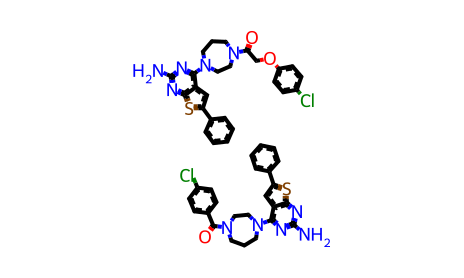 Nc1nc(N2CCCN(C(=O)COc3ccc(Cl)cc3)CC2)c2cc(-c3ccccc3)sc2n1.Nc1nc(N2CCCN(C(=O)c3ccc(Cl)cc3)CC2)c2cc(-c3ccccc3)sc2n1